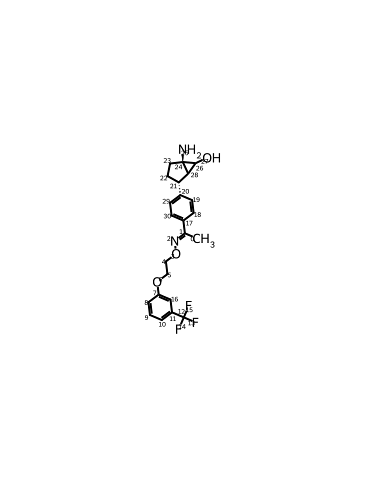 C/C(=N\OCCOc1cccc(C(F)(F)F)c1)c1ccc([C@@H]2CC[C@]3(N)C(O)C23)cc1